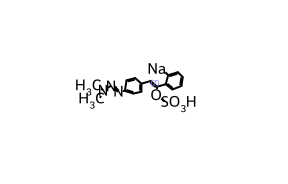 CN(C)N=Nc1ccc(/C=C(\OS(=O)(=O)O)c2cccc[c]2[Na])cc1